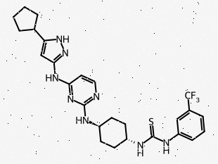 FC(F)(F)c1cccc(NC(=S)N[C@H]2CC[C@H](Nc3nccc(Nc4cc(C5CCCC5)[nH]n4)n3)CC2)c1